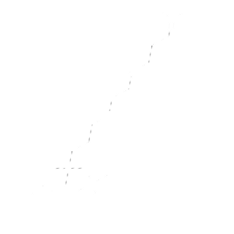 C[SiH](C)CCCOCCOCCC[Si](C)(O[Si](C)(C)C)O[Si](C)(C)C